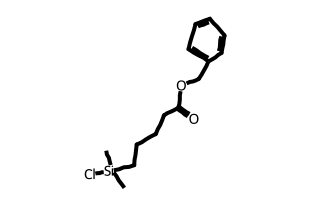 C[Si](C)(Cl)CCCCC(=O)OCc1ccccc1